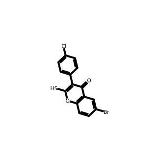 O=c1c(-c2ccc(Cl)cc2)c(S)oc2ccc(Br)cc12